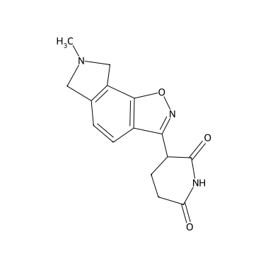 CN1Cc2ccc3c(C4CCC(=O)NC4=O)noc3c2C1